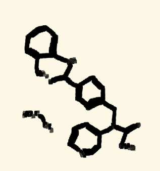 CC(=O)O.COC(=O)N(Cc1ccc(C(=O)Nc2ccccc2N)cc1)c1cccnc1